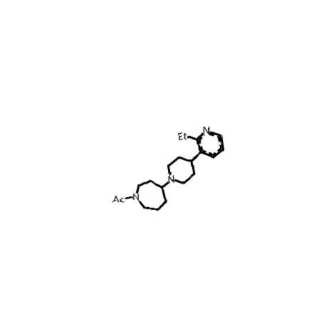 CCc1ncccc1C1CCN(C2CCCN(C(C)=O)CC2)CC1